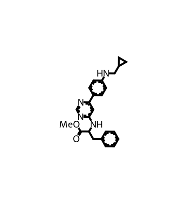 COC(=O)C(Cc1ccccc1)Nc1cc(-c2ccc(NCC3CC3)cc2)ncn1